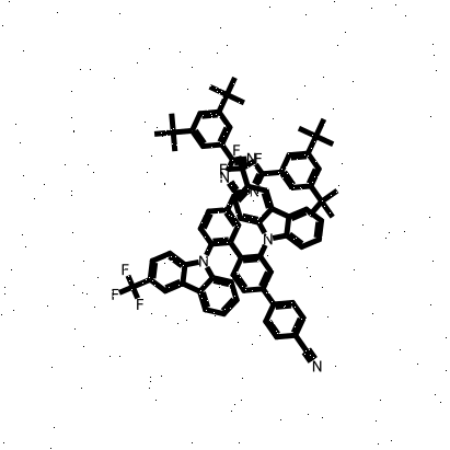 CC(C)(C)c1cc(-c2nc(-c3cc(C(C)(C)C)cc(C(C)(C)C)c3)nc(-c3ccc(-n4c5ccccc5c5cc(C(F)(F)F)ccc54)c(-c4ccc(-c5ccc(C#N)cc5)cc4-n4c5ccccc5c5cc(C(F)(F)F)ccc54)c3)n2)cc(C(C)(C)C)c1